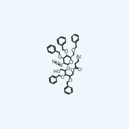 CC(=O)CCC(=O)OCC(OCc1ccccc1)C(OCc1ccccc1)C(CO)O[C@H]1O[C@H](COCc2ccccc2)[C@@H](OCc2ccccc2)[C@H](OCc2ccccc2)[C@H]1N=[N+]=[N-]